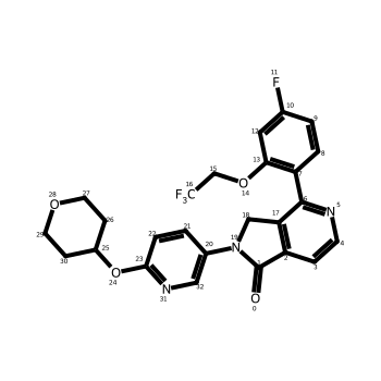 O=C1c2ccnc(-c3ccc(F)cc3OCC(F)(F)F)c2CN1c1ccc(OC2CCOCC2)nc1